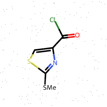 CSc1nc(C(=O)Cl)cs1